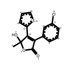 CC1(O)OC(=O)C(c2cccc(Cl)c2)=C1c1cccs1